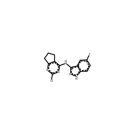 Fc1ccc2[nH]nc(Nc3nc(Cl)nc4c3CCC4)c2c1